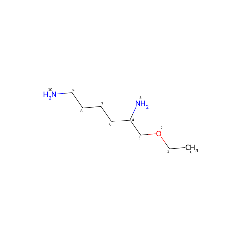 CCOCC(N)CCCCN